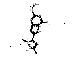 Cc1cc(-c2cc3nc(NC(C)(C)C)cc(Br)c3s2)n(C)n1